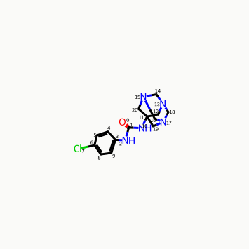 O=C(Nc1ccc(Cl)cc1)NC12CN3CN(CN(C3)C1)C2